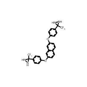 FC(F)(F)C1(c2ccc(Oc3ccc4ccc(Oc5ccc(C6(C(F)(F)F)NN6)cc5)cc4c3)cc2)NN1